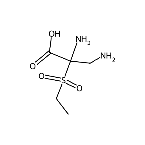 CCS(=O)(=O)C(N)(CN)C(=O)O